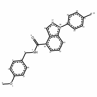 COc1ccc(CNC(=O)c2cccc3c2cnn3-c2ccc(F)cc2)cc1